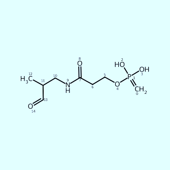 C=P(O)(O)OCCC(=O)NCC(C)C=O